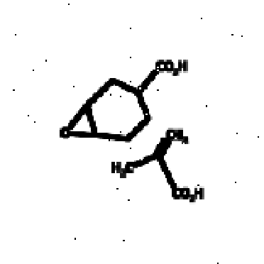 C=C(C)C(=O)O.O=C(O)C1CCC2OC2C1